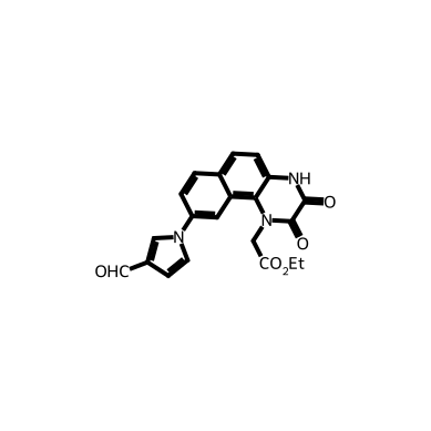 CCOC(=O)Cn1c(=O)c(=O)[nH]c2ccc3ccc(-n4ccc(C=O)c4)cc3c21